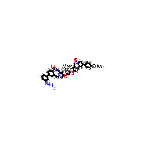 COc1ccc(C2=CC=C3C(C2)Cn2cc(OCCCOc4cn5c(c4OC)C=[N+]([O-])C4=CC=C(c6cccc(N)c6)CC4C5)c(OC)c2C=[N+]3[O-])cc1